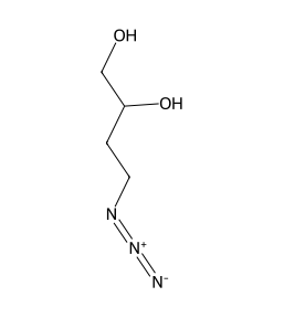 [N-]=[N+]=NCCC(O)CO